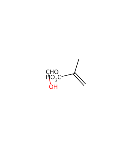 C=C(C)C(=O)O.O=CO